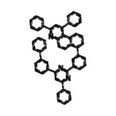 c1ccc(-c2cccc(-c3cc(-c4ccccc4)nc(-c4cccc(-c5cccc6c5ccc5nc(-c7ccccc7)cc(-c7ccccc7)c56)c4)n3)c2)cc1